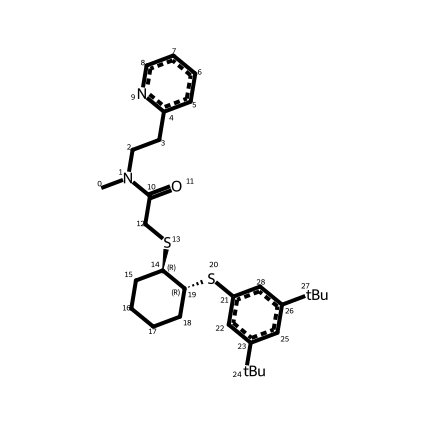 CN(CCc1ccccn1)C(=O)CS[C@@H]1CCCC[C@H]1Sc1cc(C(C)(C)C)cc(C(C)(C)C)c1